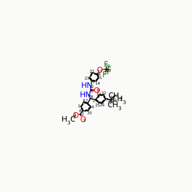 COC(=O)c1ccc(C(NC(=O)Nc2ccc(OC(F)(F)F)cc2)c2ccc(C(C)(C)C)cc2)cc1